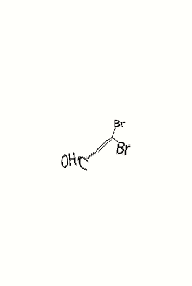 O=CC=C(Br)Br